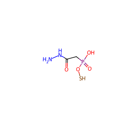 NNC(=O)CP(=O)(O)OS